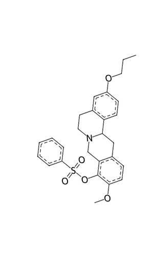 CCCOc1ccc2c(c1)CCN1Cc3c(ccc(OC)c3OS(=O)(=O)c3ccccc3)CC21